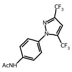 CC(=O)Nc1ccc(-n2nc(C(F)(F)F)cc2C(F)(F)F)cc1